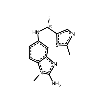 Cc1ncc([C@@H](C)Nc2ccc3c(c2)nc(N)n3C)s1